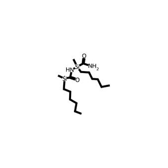 CCCCCC[Si](C)C(=O)N[Si](C)(CCCCCC)C(N)=O